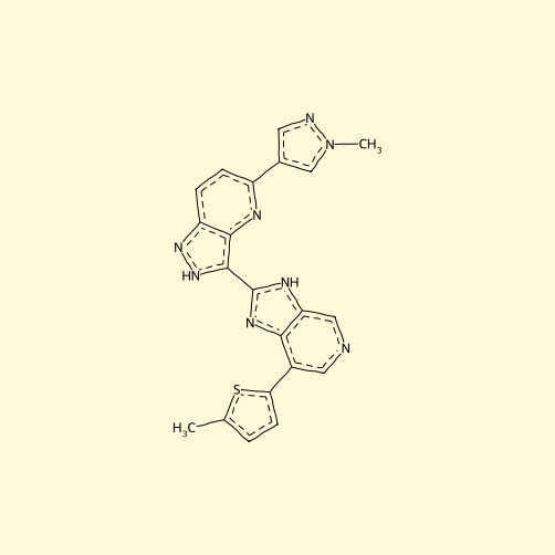 Cc1ccc(-c2cncc3[nH]c(-c4[nH]nc5ccc(-c6cnn(C)c6)nc45)nc23)s1